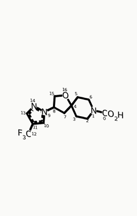 O=C(O)N1CCC2(CC1)CC(n1cc(C(F)(F)F)cn1)CO2